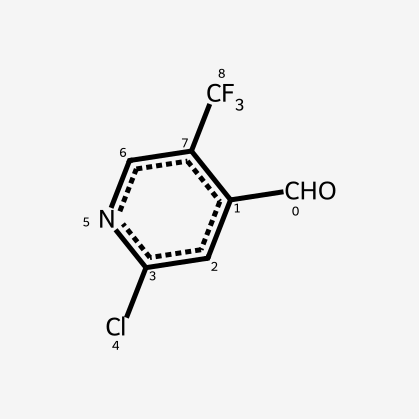 O=Cc1cc(Cl)ncc1C(F)(F)F